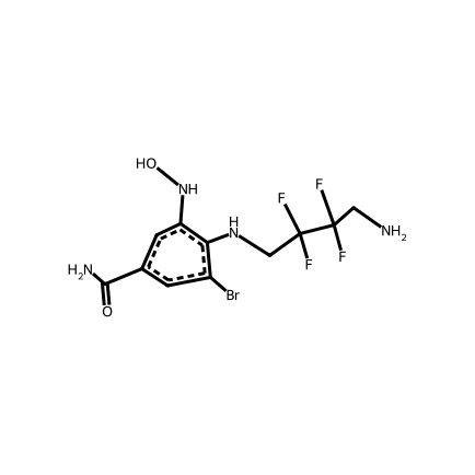 NCC(F)(F)C(F)(F)CNc1c(Br)cc(C(N)=O)cc1NO